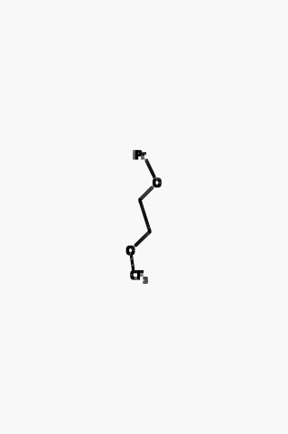 CC(C)OCCOC(F)(F)F